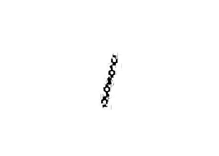 CN1CCC(NC(=O)C2CCC(OC(=O)C(=O)OC3CCC(C(=O)NC4CCN(C)CC4)CC3)CC2)CC1